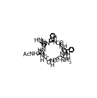 CC(=O)NCC(=O)NC1CCC(=O)NCCCC(C(N)=O)NC(=O)[C@H](Cc2c[nH]c3ccccc23)NC(=O)CNC(=O)C(Cc2ccccc2)NC(=O)[C@H](Cc2c[nH]cn2)NC1=O